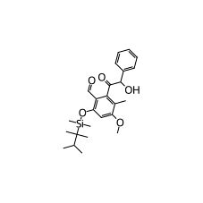 COc1cc(O[Si](C)(C)C(C)(C)C(C)C)c(C=O)c(C(=O)C(O)c2ccccc2)c1C